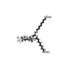 CCCCCCCCCCCCCCCCCCOC[C@H](COP(=O)([O-])OCC[N+](C)(C)C)OC(=O)CCCCCCCCCCCCCCCCC